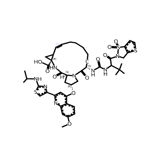 COc1ccc2c(O[C@@H]3C[C@H]4C(=O)N[C@]5(C(=O)O)CC5/C=C\CCCCC[C@H](NC(=O)NC(C(=O)N5Cc6sccc6S5(=O)=O)C(C)(C)C)C(=O)N4C3)cc(-c3csc(NC(C)C)n3)nc2c1